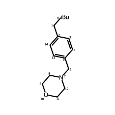 CCC(C)Cc1ccc(CN2CCOCC2)cc1